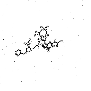 CC(C)C(=O)Nc1nc2c(ncn2[C@@H]2O[C@@H]3CO[Si](C(C)C)(C(C)C)O[Si](C(C)C)(C(C)C)O[C@H]3[C@@H]2OP(=S)(OCCC#N)OC[C@H]2C[C@@H](Oc3ccncn3)C[C@@H]2O[PH](=O)O)c(=O)[nH]1